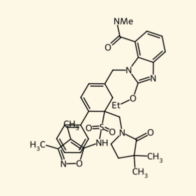 CCOc1nc2cccc(C(=O)NC)c2n1CC1=CC=C(c2ccccc2)C(CN2CCC(C)(C)C2=O)(S(=O)(=O)Nc2onc(C)c2C)C1